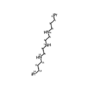 CC(C)CCCNCCNCCNCCCC(C)C